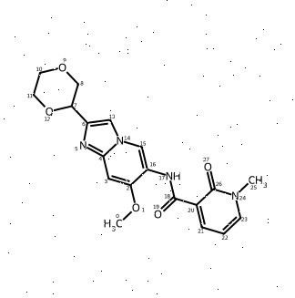 COc1cc2nc(C3COCCO3)cn2cc1NC(=O)c1cccn(C)c1=O